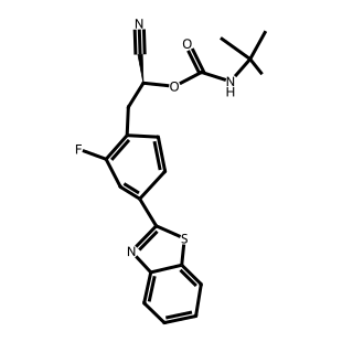 CC(C)(C)NC(=O)O[C@H](C#N)Cc1ccc(-c2nc3ccccc3s2)cc1F